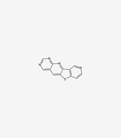 c1cc2sc3cc4cncnc4nc3c2cn1